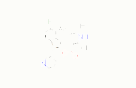 CC(=O)C1=C(C)NC(C)=C(C(=O)OCc2ccncc2)C1c1csc2ccc(F)cc12